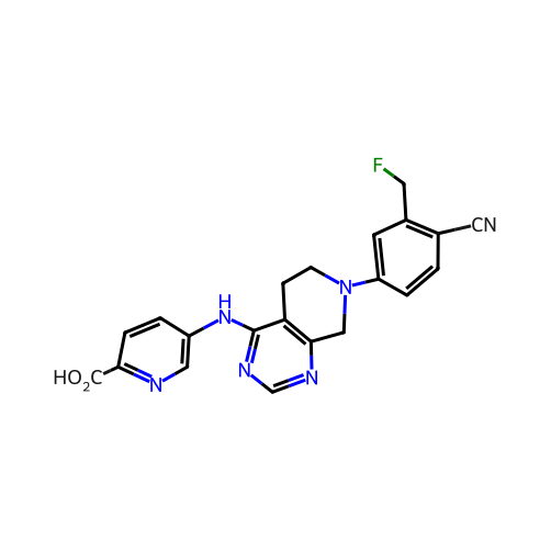 N#Cc1ccc(N2CCc3c(ncnc3Nc3ccc(C(=O)O)nc3)C2)cc1CF